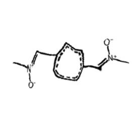 C/[N+]([O-])=C/c1ccc(/C=[N+](/C)[O-])cc1